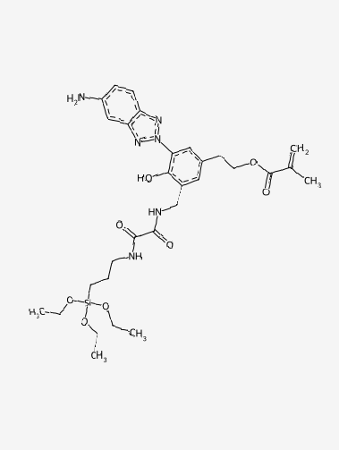 C=C(C)C(=O)OCCc1cc(CNC(=O)C(=O)NCCC[Si](OCC)(OCC)OCC)c(O)c(-n2nc3ccc(N)cc3n2)c1